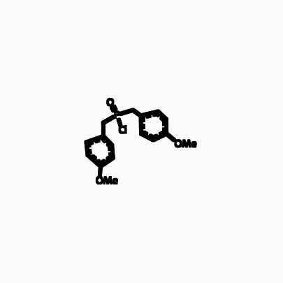 COc1ccc(CP(=O)(Cl)Cc2ccc(OC)cc2)cc1